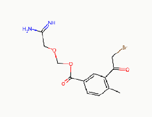 Cc1ccc(C(=O)OCOCC(=N)N)cc1C(=O)CBr